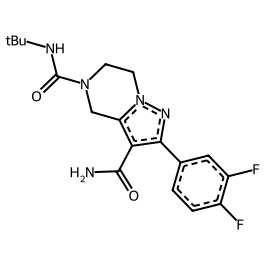 CC(C)(C)NC(=O)N1CCn2nc(-c3ccc(F)c(F)c3)c(C(N)=O)c2C1